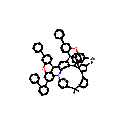 CC(C)(C)C1=CC2(c3ccccc3)C(=C1)c1cccc(c1)C(C)(C)c1ccc(cc1)N1c3cc4c(cc3B3c5ccc(-c6ccccc6)cc5Oc5cc(-c6ccccc6-c6ccccc6)cc1c53)B1c3ccc(-c5ccccc5)cc3Oc3cc(C(C)(C)C)cc(c31)C42